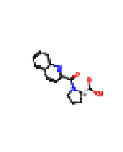 O=C(O)[C@@H]1CCCN1C(=O)c1ccc2ccccc2n1